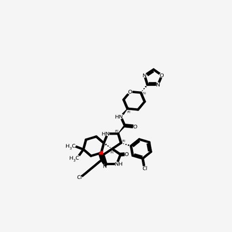 CC1(C)CCC2(CC1)N[C@@H](C(=O)N[C@@H]1CC[C@@H](c3ncon3)OC1)[C@H](c1cccc(Cl)c1)[C@]21C(=O)Nc2nc(Cl)ccc21